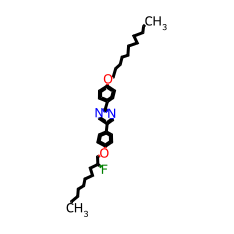 CCCCCCCCCCCOc1ccc(-c2ncc(-c3ccc(OCC(F)CCCCCCCC)cc3)cn2)cc1